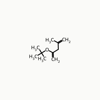 C=C(C)CC(=C)OC(C)(C)C